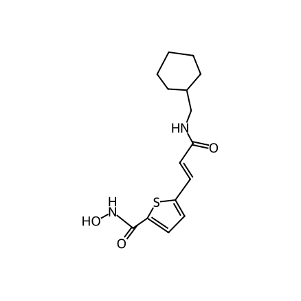 O=C(C=Cc1ccc(C(=O)NO)s1)NCC1CCCCC1